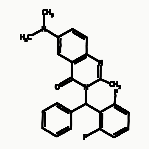 Cc1nc2ccc(N(C)C)cc2c(=O)n1C(c1ccccc1)c1c(F)cccc1F